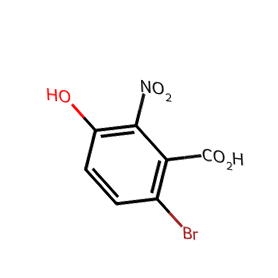 O=C(O)c1c(Br)ccc(O)c1[N+](=O)[O-]